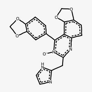 [O-][n+]1c(Cc2ncc[nH]2)nc2ccc3c(c2c1-c1ccc2c(c1)OCO2)OCO3